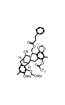 COCOc1c(OC)c(C)cc2c1[C@@H]1C3Cc4c(OC(=O)C(F)(F)F)c(C)c5c(c4[C@H](COC(=O)CCc4ccccc4)N3[C@@H](C#N)[C@H](C2)N1C)OCO5